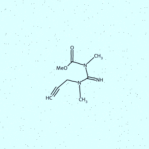 C#CCN(C)C(=N)N(C)C(=O)OC